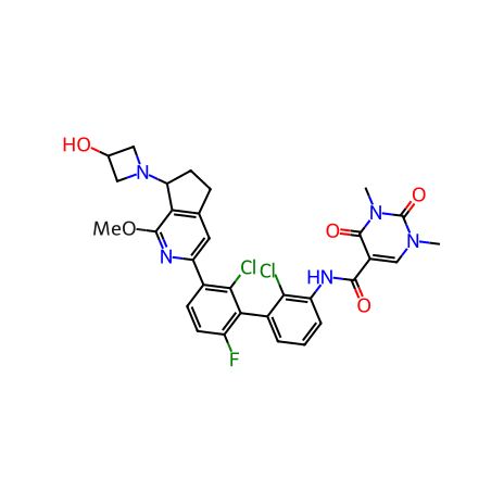 COc1nc(-c2ccc(F)c(-c3cccc(NC(=O)c4cn(C)c(=O)n(C)c4=O)c3Cl)c2Cl)cc2c1C(N1CC(O)C1)CC2